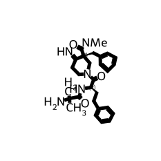 CNC(=O)[C@]1(Cc2ccccc2)CN(C(=O)[C@@H](CCc2ccccc2)NC(=O)C(C)(C)N)CCC1=N